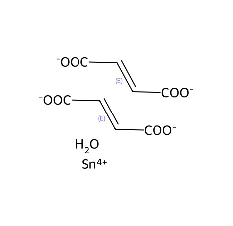 O.O=C([O-])/C=C/C(=O)[O-].O=C([O-])/C=C/C(=O)[O-].[Sn+4]